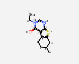 CC1CCc2c(sc3ncn(CC(C)(C)C)c(=O)c23)C1